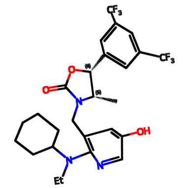 CCN(c1ncc(O)cc1CN1C(=O)O[C@H](c2cc(C(F)(F)F)cc(C(F)(F)F)c2)[C@@H]1C)C1CCCCC1